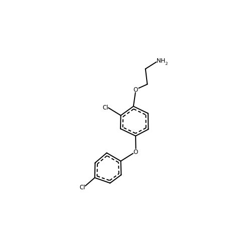 NCCOc1ccc(Oc2ccc(Cl)cc2)cc1Cl